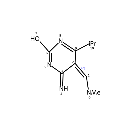 CN/C=C1\C(=N)N=C(O)N=C1C(C)C